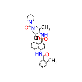 Cc1ccccc1C(=O)Nc1ccc(S(=O)(=O)NC2C(C)CN(C(=O)N3CCCCC3)CC2C)c2ccccc12